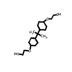 CC(C)(C1CCC(OCCO)CC1)C1CCC(OCCO)CC1